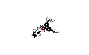 CNC(=O)c1ccc2c(c1)-c1cc(C(=O)NC)ccc1C2(C[C@H](C)NCC(=O)N1[C@H](C#N)C[C@@H]2C[C@@H]21)c1nn[nH]n1